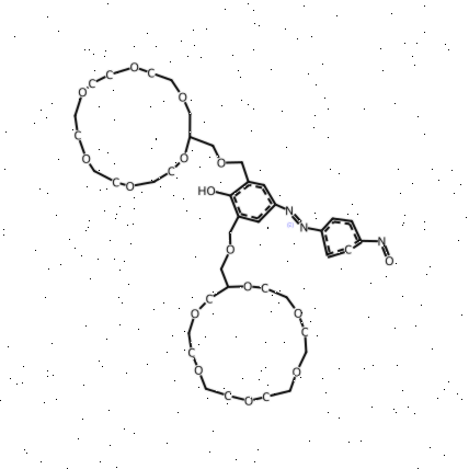 O=Nc1ccc(/N=N/c2cc(COCC3COCCOCCOCCOCCOCCO3)c(O)c(COCC3COCCOCCOCCOCCOCCO3)c2)cc1